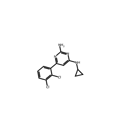 Nc1nc(NC2CC2)cc(-c2cccc(Cl)c2Cl)n1